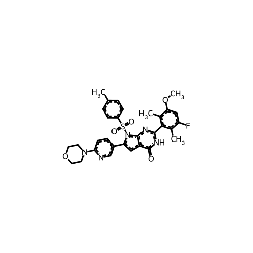 COc1cc(F)c(C)c(-c2nc3c(cc(-c4ccc(N5CCOCC5)nc4)n3S(=O)(=O)c3ccc(C)cc3)c(=O)[nH]2)c1C